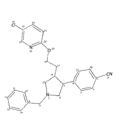 N#Cc1ccc(C2CN(Cc3ccccc3)CC2CCOc2ccc(Cl)cn2)cc1